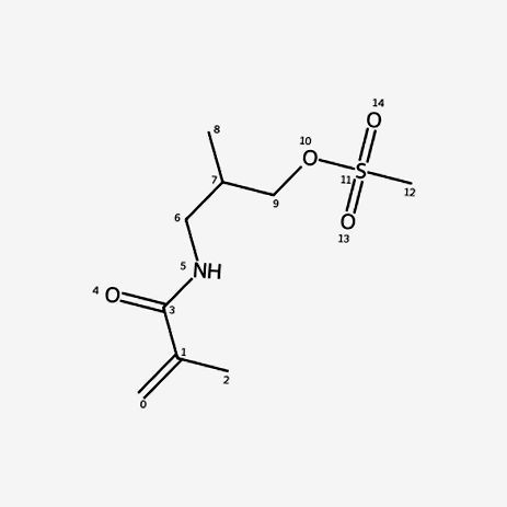 C=C(C)C(=O)NCC(C)COS(C)(=O)=O